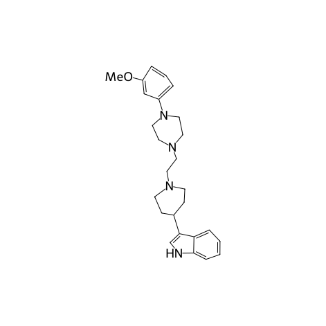 COc1cccc(N2CCN(CCN3CCC(c4c[nH]c5ccccc45)CC3)CC2)c1